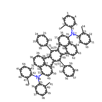 Cc1ccccc1N(c1ccccc1C)c1ccc2c3c(-c4ccccc4)c4c5cccc6c(N(c7ccccc7C)c7ccccc7C)ccc(c4c(-c4ccccc4)c3c3cccc1c32)c65